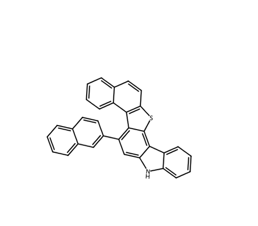 c1ccc2cc(-c3cc4[nH]c5ccccc5c4c4sc5ccc6ccccc6c5c34)ccc2c1